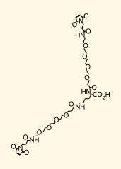 O=C(CCOCCOCCOCCOCCNC(=O)CCN1C(=O)C=CC1=O)NCCCCC(NC(=O)CCOCCOCCOCCOCCNC(=O)CCN1C(=O)C=CC1=O)C(=O)O